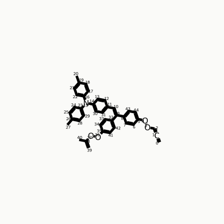 C=C=COOc1ccc(C(=Cc2ccc(N(c3ccc(C)cc3)c3ccc(C)cc3)cc2)c2ccc(OOC(=C)C)cc2)cc1